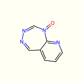 O=[n+]1cnncc2cccnc21